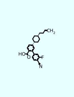 C=CCC[C@H]1CC[C@H](c2ccc(C(=O)O)c(-c3ccc(C#N)c(F)c3)c2)CC1